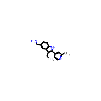 CCc1c(-c2ccnc(C)c2)[nH]c2ccc(CN)cc12